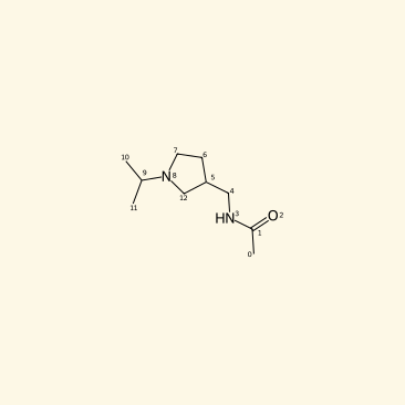 CC(=O)NCC1CCN(C(C)C)C1